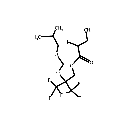 CCC(I)C(=O)OCC(OCOCC(C)C)(C(F)(F)F)C(F)(F)F